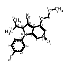 COCOC1=C[N+](=O)C=C2C1=C(Br)C(C(C)C)N2c1ccc(F)cc1